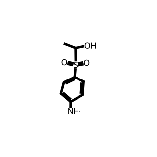 CC(O)S(=O)(=O)c1ccc([NH])cc1